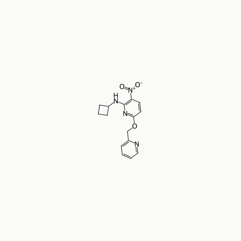 O=[N+]([O-])c1ccc(OCc2ccccn2)nc1NC1CCC1